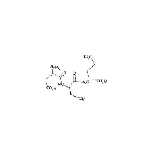 CC(=O)N[C@H](CC(=O)O)C(=O)N[C@H](CO)C(=O)N[C@H](CCC(=O)O)C(=O)O